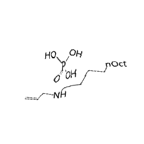 C=CCNCCCCCCCCCCCC.O=P(O)(O)O